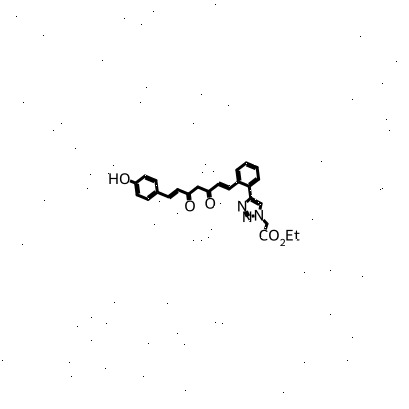 CCOC(=O)Cn1cc(-c2ccccc2C=CC(=O)CC(=O)C=Cc2ccc(O)cc2)nn1